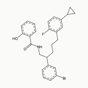 O=C(NCC(CCCc1cc(C2CC2)ccc1F)c1cccc(Br)c1)c1ccccc1O